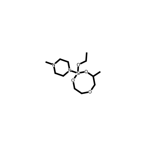 CCO[Si]1(N2CCN(C)CC2)OCCOCC(C)O1